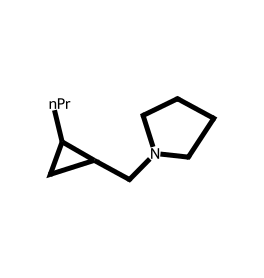 CCCC1C[C]1CN1CCCC1